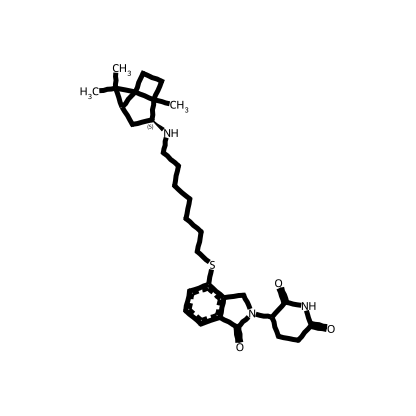 CC1(C)C2C[C@H](NCCCCCCCSc3cccc4c3CN(C3CCC(=O)NC3=O)C4=O)C3(C)CCC213